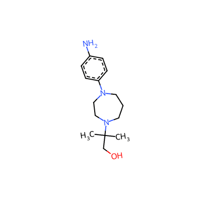 CC(C)(CO)N1CCCN(c2ccc(N)cc2)CC1